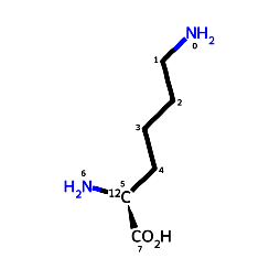 NCCCC[12C@H](N)C(=O)O